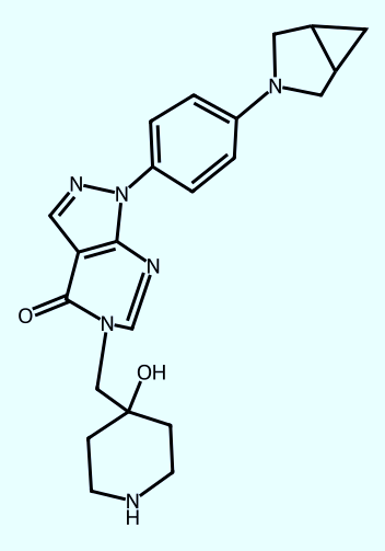 O=c1c2cnn(-c3ccc(N4CC5CC5C4)cc3)c2ncn1CC1(O)CCNCC1